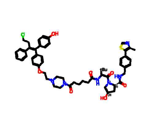 Cc1ncsc1-c1ccc(CNC(=O)[C@@H]2C[C@@H](O)CN2C(=O)C(NC(=O)CCCCC(=O)N2CCN(CCOc3ccc(C(=C(CCCl)c4ccccc4)c4ccc(O)cc4)cc3)CC2)C(C)(C)C)cc1